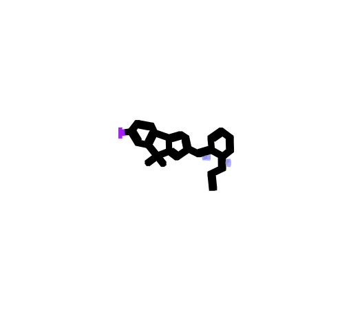 C=C/C=c1/cccc/c1=C\c1ccc2c(c1)C(C)(C)c1cc(I)ccc1-2